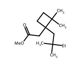 CCC(C)(C)CC1(CC(=O)OC)CCC1(C)C